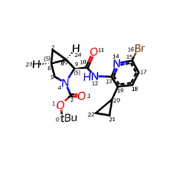 CC(C)(C)OC(=O)N1C[C@H]2C[C@H]2[C@H]1C(=O)Nc1nc(Br)ccc1C1CC1